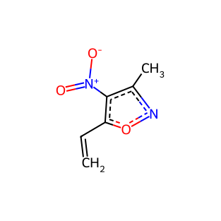 C=Cc1onc(C)c1[N+](=O)[O-]